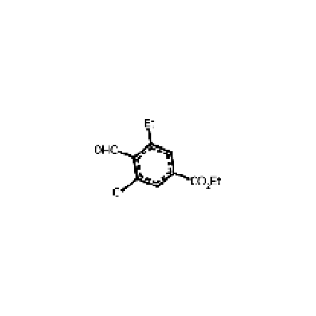 CCOC(=O)c1cc(Cl)c(C=O)c(CC)c1